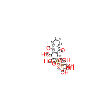 O=C1c2ccccc2C(=O)c2c1cc(S(=O)(=O)OP(CO)(CO)(CO)CO)c(O)c2O